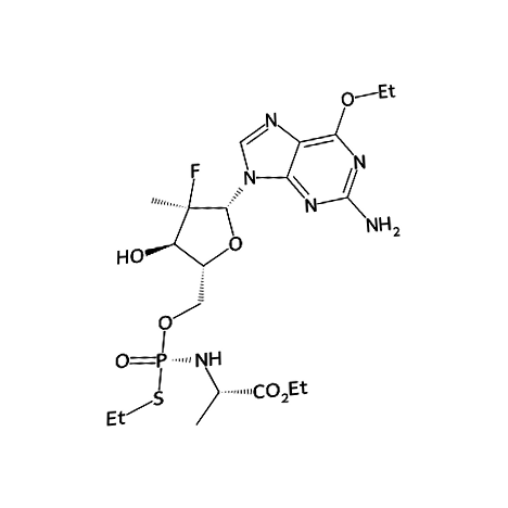 CCOC(=O)[C@H](C)N[P@](=O)(OC[C@H]1O[C@@H](n2cnc3c(OCC)nc(N)nc32)[C@](C)(F)[C@@H]1O)SCC